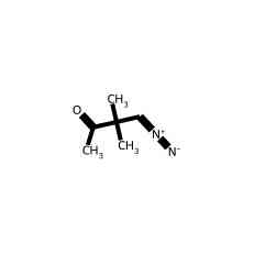 CC(=O)C(C)(C)C=[N+]=[N-]